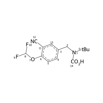 CC(C)(C)N(Cc1ccc(OC(F)F)c(C#N)c1)C(=O)O